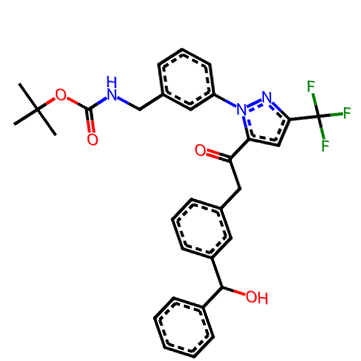 CC(C)(C)OC(=O)NCc1cccc(-n2nc(C(F)(F)F)cc2C(=O)Cc2cccc(C(O)c3ccccc3)c2)c1